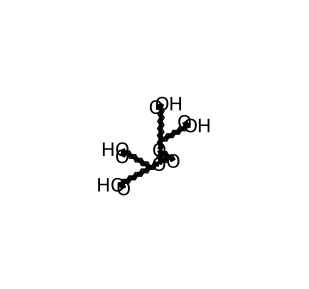 O=Cc1cc(OCCC(CCCCCCCCC(=O)O)CCCCCCCC(=O)O)cc(OCCC(CCCCCCCCC(=O)O)CCCCCCCC(=O)O)c1